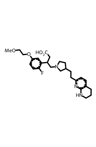 COCCOc1ccc(F)c(C(CC(=O)O)CN2CCC(CCc3ccc4c(n3)NCCC4)C2)c1